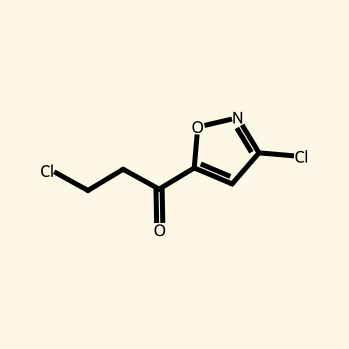 O=C(CCCl)c1cc(Cl)no1